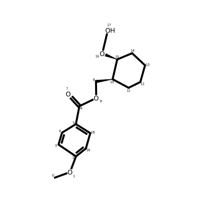 COc1ccc(C(=O)OC[C@@H]2CCCC[C@@H]2OO)cc1